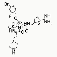 CS(=O)(=O)N[C@H](CCC1CCNCC1)C(=O)N1C[C@H](OCc2ccc(Br)cc2F)C[C@H]1C(=O)NCC1CC=C(C(=N)N)S1